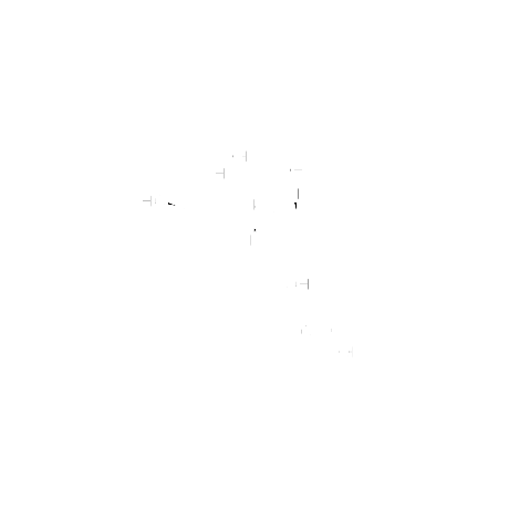 C[C@H](CCC(=O)O)[C@H]1CC[C@H]2[C@@H]3[C@@H](O)[C@@H](O)[C@@H]4C[C@H](O)CC[C@]4(C)[C@H]3C[C@@H](O)[C@]12C